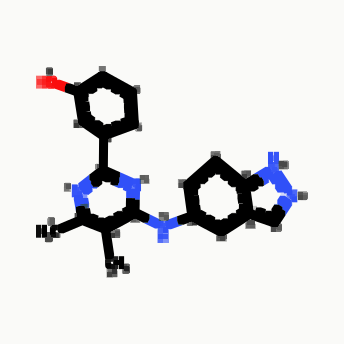 Cc1nc(-c2cccc(O)c2)nc(Nc2ccc3[nH]ncc3c2)c1C